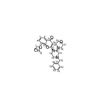 CCOc1cccc2c(=O)cc(N3CCN(Cc4ccccc4)CC3N3CCOCC3)oc12